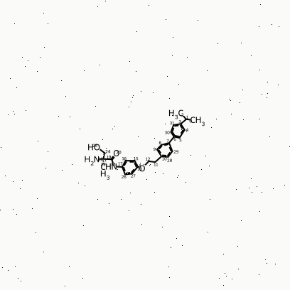 CC(C)c1ccc(-c2ccc(CCOc3ccc(NC(=O)[C@@](C)(N)CO)cc3)cc2)cc1